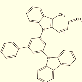 C=C/C=C\c1c(C)c2ccccc2n1-c1cc(-c2ccccc2)cc(-n2c3ccccc3c3ccccc32)c1